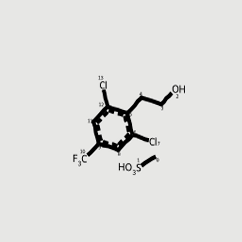 CS(=O)(=O)O.OCCc1c(Cl)cc(C(F)(F)F)cc1Cl